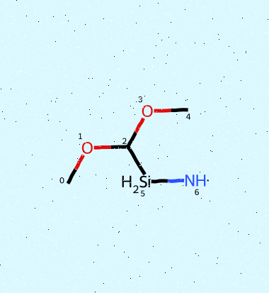 COC(OC)[SiH2][NH]